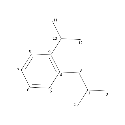 CC(C)Cc1[c]cccc1C(C)C